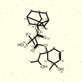 CC(O)CC1(OC(=O)COC23CC4CC(C2)C(C)(OC(=O)C(F)(F)S(=O)(=O)O)C(C4)C3)CC=CC(C)(O)C1